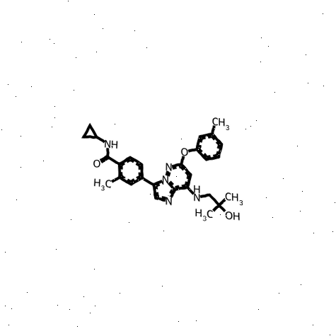 Cc1cccc(Oc2cc(NCC(C)(C)O)c3ncc(-c4ccc(C(=O)NC5CC5)c(C)c4)n3n2)c1